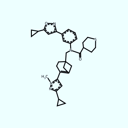 Cn1nc(C2CC2)cc1C1=C2CC(CN(C(=O)C3CCSCC3)c3cccc(-c4cc(C5CC5)on4)c3)(CC1)C2